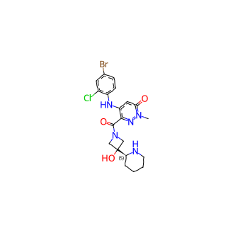 Cn1nc(C(=O)N2CC(O)([C@@H]3CCCCN3)C2)c(Nc2ccc(Br)cc2Cl)cc1=O